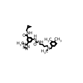 Cc1ccc(CN(C)CCCCNC(=O)Nc2cc(C(=O)NCC3CC3)cc(-c3nnnn3C)c2)cc1C